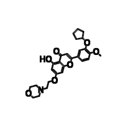 COc1ccc(-c2cc(=O)c3c(O)cc(OCCN4CCOCC4)cc3o2)cc1OC1CCCC1